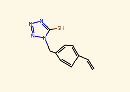 C=Cc1ccc(Cn2nnnc2S)cc1